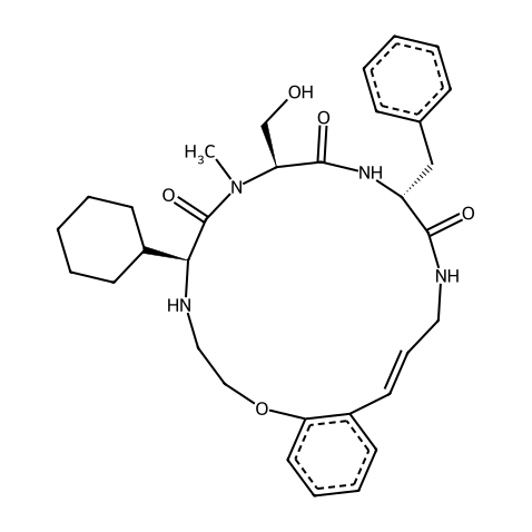 CN1C(=O)[C@H](C2CCCCC2)NCCOc2ccccc2/C=C/CNC(=O)[C@@H](Cc2ccccc2)NC(=O)[C@@H]1CO